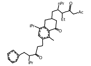 CCCC(CC1CC(=O)c2c(C)c(CCC(=O)C(Cc3ccccc3)C(C)C)cc(C(C)C)c2C1)C(CC)C(=O)CC(C)=O